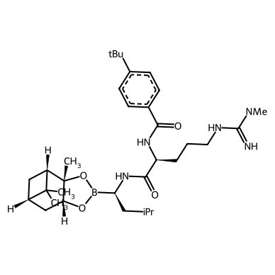 CNC(=N)NCCC[C@H](NC(=O)c1ccc(C(C)(C)C)cc1)C(=O)N[C@@H](CC(C)C)B1O[C@@H]2C[C@@H]3C[C@@H](C3(C)C)[C@]2(C)O1